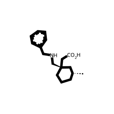 C[C@@H]1CCC[C@](CNCc2ccccc2)(CC(=O)O)C1